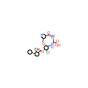 Cc1c(COc2cc3c(cc2Cl)CN[C@H](C(=O)O)CONC(=O)c2cncc(c2)CO3)cccc1-c1ccccc1